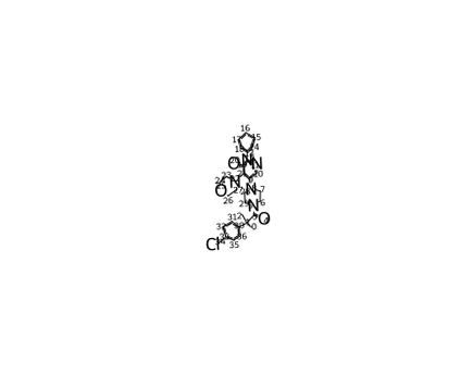 CC(C)(C(=O)N1CCN(c2cnn(-c3ccccc3)c(=O)c2N2CCOCC2)CC1)c1ccc(Cl)cc1